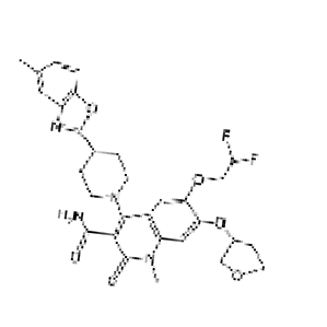 Cc1ccc2oc(C3CCN(c4c(C(N)=O)c(=O)n(C)c5cc(OC6CCOC6)c(OCC(F)F)cc45)CC3)nc2c1